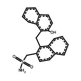 NS(=O)(=O)Cc1ccc2ccccc2c1Cc1c(O)ccc2ccccc12